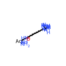 CC(=O)[C@H](CCCCNC(=O)CCCCCCCCCCCCCCCn1cnc(-c2nnn[nH]2)c1-c1nnn[nH]1)NCN